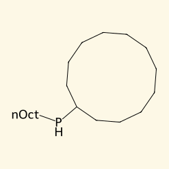 CCCCCCCCPC1CCCCCCCCCCC1